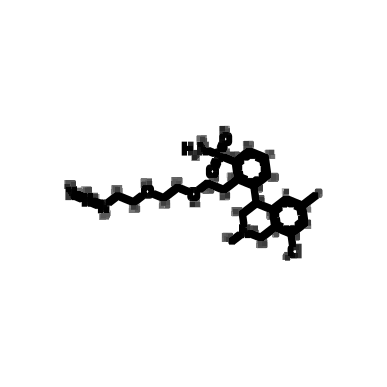 Cc1cc(Cl)c2c(c1)C(c1cccc(S(N)(=O)=O)c1CCOCCOCCN=[N+]=[N-])CN(C)C2